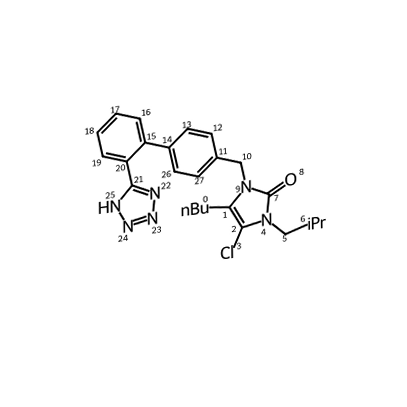 CCCCc1c(Cl)n(CC(C)C)c(=O)n1Cc1ccc(-c2ccccc2-c2nnn[nH]2)cc1